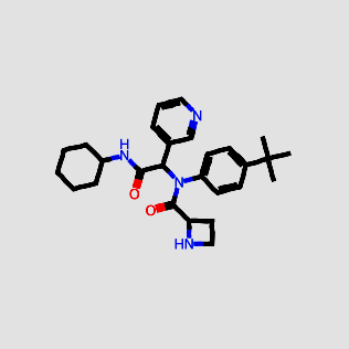 CC(C)(C)c1ccc(N(C(=O)C2CCN2)C(C(=O)NC2CCCCC2)c2cccnc2)cc1